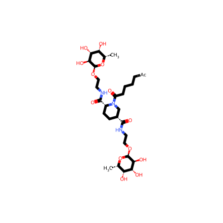 CC(=O)CCCCC(=O)N1C[C@H](C(=O)NCCO[C@@H]2O[C@@H](C)[C@@H](O)[C@@H](O)[C@@H]2O)CC[C@@H]1C(=O)NCCO[C@@H]1O[C@@H](C)[C@@H](O)[C@@H](O)[C@@H]1O